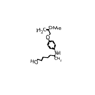 C=C(CCCCCO)Nc1ccc(OCC(=C)OC)cc1